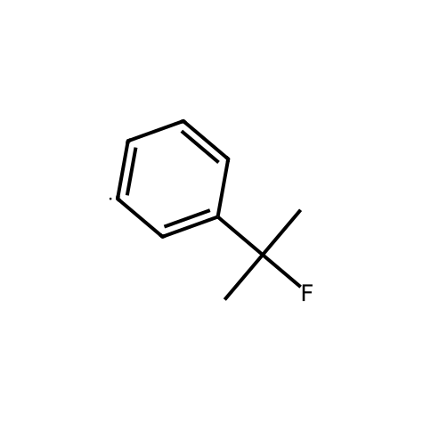 CC(C)(F)c1c[c]ccc1